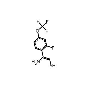 N/C(=C\S)c1ccc(OC(F)(F)F)cc1F